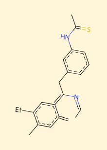 C=c1cc(C)c(CC)c/c1=C(Cc1cccc(NC(C)=S)c1)/N=C\C